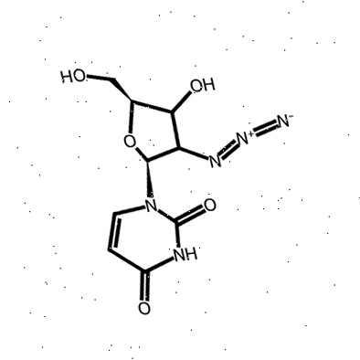 [N-]=[N+]=NC1C(O)[C@H](CO)O[C@@H]1n1ccc(=O)[nH]c1=O